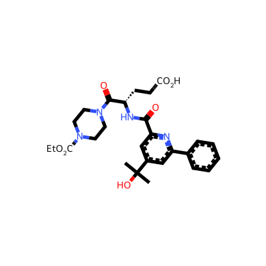 CCOC(=O)N1CCN(C(=O)[C@H](CCC(=O)O)NC(=O)c2cc(C(C)(C)O)cc(-c3ccccc3)n2)CC1